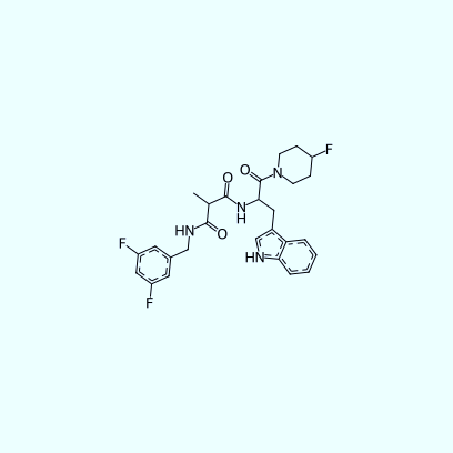 CC(C(=O)NCc1cc(F)cc(F)c1)C(=O)NC(Cc1c[nH]c2ccccc12)C(=O)N1CCC(F)CC1